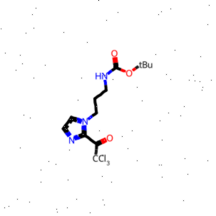 CC(C)(C)OC(=O)NCCCn1ccnc1C(=O)C(Cl)(Cl)Cl